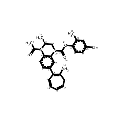 CC(=O)N1c2ccc(C3=C(N)CC=CC=C3)cc2N(C(=O)Oc2ccc(Cl)cc2C)C[C@@H]1C